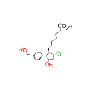 O=C(O)CCCCCC[C@@H]1[C@@H](c2ccc(CO)cc2)[C@H](O)C[C@H]1Cl